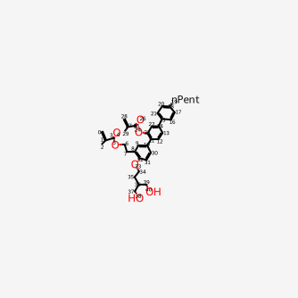 C=C(C)C(=O)OCCc1cc(-c2ccc(-c3ccc(CCCCC)cc3)cc2OC(=O)C(=C)C)ccc1OCCC(CO)CO